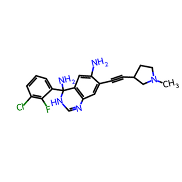 CN1CCC(C#Cc2cc3c(cc2N)C(N)(c2cccc(Cl)c2F)NC=N3)C1